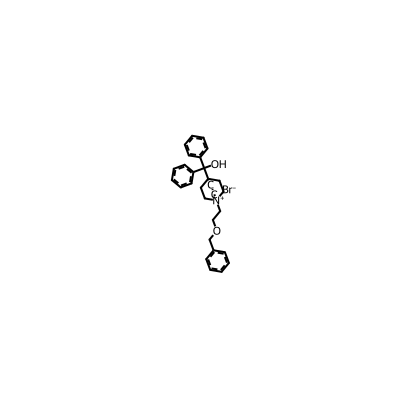 OC(c1ccccc1)(c1ccccc1)C12CC[N+](CCOCc3ccccc3)(CC1)CC2.[Br-]